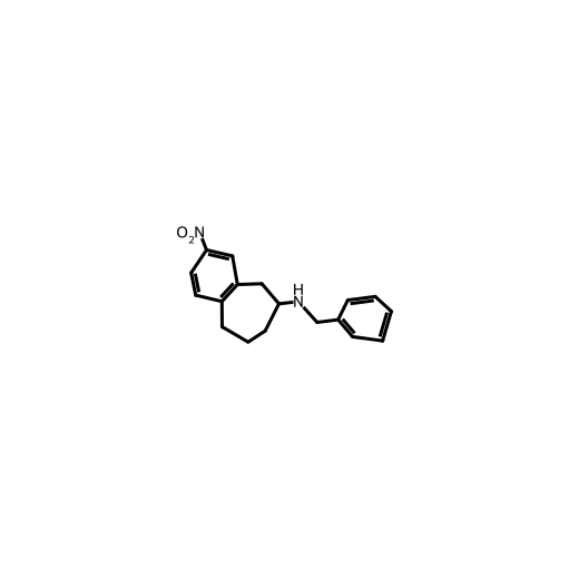 O=[N+]([O-])c1ccc2c(c1)CC(NCc1ccccc1)CCC2